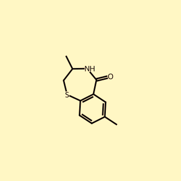 Cc1ccc2c(c1)C(=O)NC(C)CS2